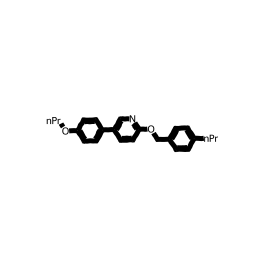 CCCOc1ccc(-c2ccc(OCc3ccc(CCC)cc3)nc2)cc1